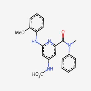 COc1ccccc1Nc1cc(NC(=O)O)cc(C(=O)N(C)c2ccccc2)n1